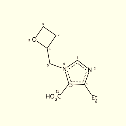 CCc1ncn(CC2CCO2)c1C(=O)O